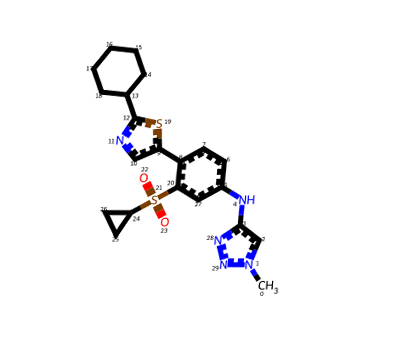 Cn1cc(Nc2ccc(-c3cnc(C4CCCCC4)s3)c(S(=O)(=O)C3CC3)c2)nn1